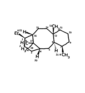 CC[C@@H]1CC[C@H]2C[C@@H]3[C@H](C)CCC[C@@]3(C)CC[C@@H]1C2(C)C